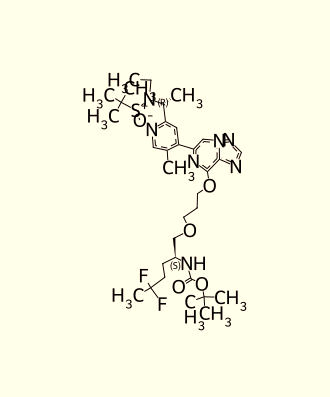 CCN([C@H](C)c1cc(-c2cn3ncnc3c(OCCCOC[C@H](CCC(C)(F)F)NC(=O)OC(C)(C)C)n2)c(C)cn1)[S+]([O-])C(C)(C)C